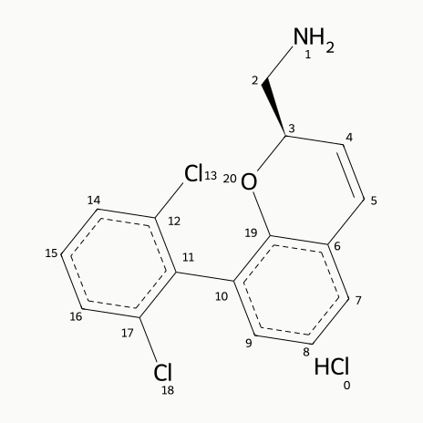 Cl.NC[C@H]1C=Cc2cccc(-c3c(Cl)cccc3Cl)c2O1